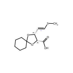 CS/C=C/[C@H]1OC2(CCCCC2)O[C@H]1C(=O)O